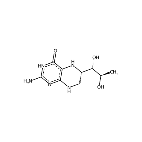 C[C@@H](O)[C@@H](O)[C@@H]1CNc2nc(N)[nH]c(=O)c2N1